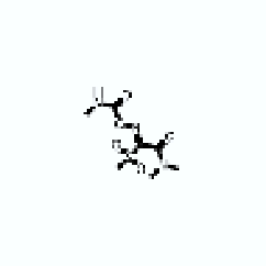 CNC(=O)ON=C(C(=O)N(C)C)S(C)(=O)=O